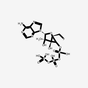 C[C@]1(O)[C@H](n2cnc3c(N)ncnc32)O[C@]2(CF)C(OP(=O)(O)OP(=O)(O)OP(=O)(O)O)[C@]12O